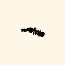 CC(C)(CN=[N+]=[N-])c1ccc(C(=O)/N=C(\N)Nc2nc3ccccc3o2)cc1